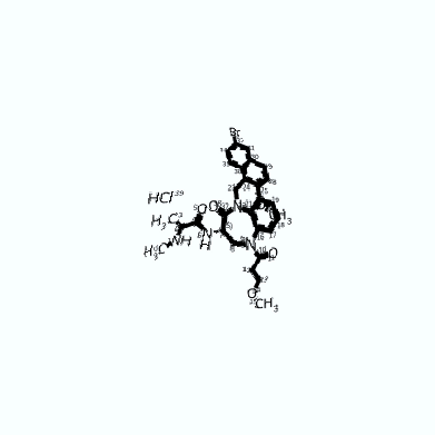 CN[C@@H](C)C(=O)N[C@H]1CN(C(=O)CCOC)c2ccccc2N(Cc2c(OC)ccc3cc(Br)ccc23)C1=O.Cl